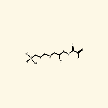 C=C(C)C(=O)OCC(O)COCCC[Si](C)(C(C)(C)C)C(C)(C)C